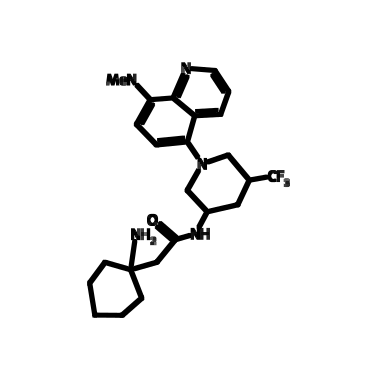 CNc1ccc(N2CC(NC(=O)CC3(N)CCCCC3)CC(C(F)(F)F)C2)c2cccnc12